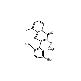 Cc1cccn2c(=O)c(OC(=O)O)c(-c3cc(C(C)(C)C)ccc3N)nc12